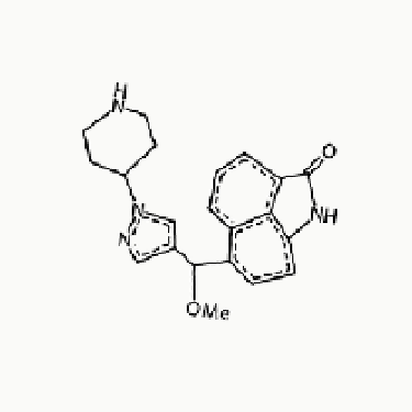 COC(c1cnn(C2CCNCC2)c1)c1ccc2c3c(cccc13)C(=O)N2